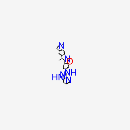 CC(c1ccc2c(ccn2C)c1)c1noc2cc(Nc3n[nH]c4cccnc34)ccc12